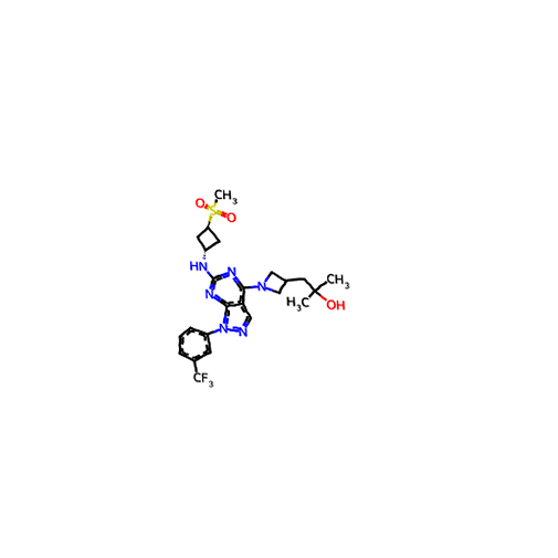 CC(C)(O)CC1CN(c2nc(N[C@H]3C[C@H](S(C)(=O)=O)C3)nc3c2cnn3-c2cccc(C(F)(F)F)c2)C1